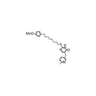 COc1ccc(CCCCCCCCSc2ncc(Cc3ccc(C)nc3)c(=O)[nH]2)cc1